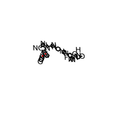 Cn1nc(N2CCC(=O)NC2=O)c2ccc(N3CCN([C@H]4CC[C@H](n5cc(-c6cn7ncc(C#N)c7c(-c7ccc(N8CC9COCC(C8)N9Cc8ccccn8)nc7)n6)cn5)CC4)CC3)c(F)c21